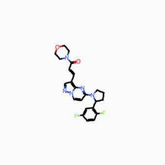 O=C(C=Cc1cnn2ccc(N3CCCC3c3cc(F)ccc3F)nc12)N1CCOCC1